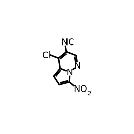 [C-]#[N+]c1cnn2c([N+](=O)[O-])ccc2c1Cl